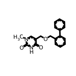 Cn1cc(COCc2ccccc2-c2ccccc2)c(=O)[nH]c1=O